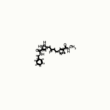 CNC(=O)c1cn(CCC(F)CN2C=C(C(=O)NCc3ccccc3)NN2)nn1